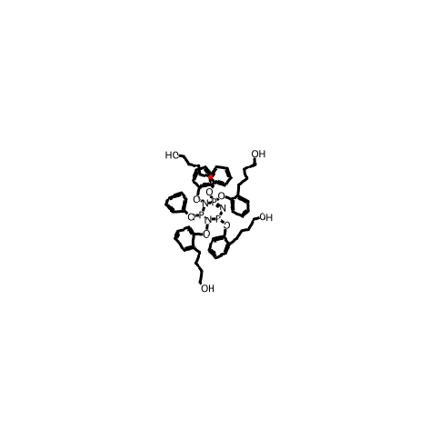 OCCCCc1ccccc1ON1P(Oc2ccccc2CCCCO)N=P(Oc2ccccc2CCCCO)(Oc2ccccc2CCCCO)N(Oc2ccccc2)P1Oc1ccccc1